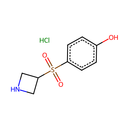 Cl.O=S(=O)(c1ccc(O)cc1)C1CNC1